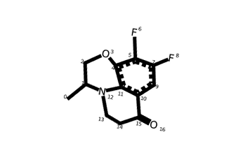 CC1COc2c(F)c(F)cc3c2N1CCC3=O